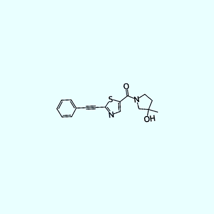 CC1(O)CCN(C(=O)c2cnc(C#Cc3ccccc3)s2)C1